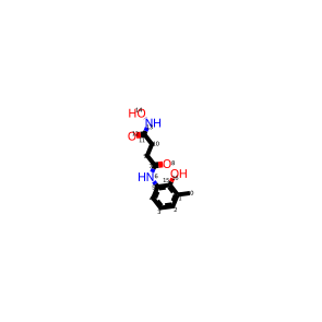 Cc1cccc(NC(=O)CCC(=O)NO)c1O